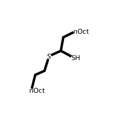 CCCCCCCCCCSC(S)CCCCCCCCC